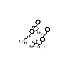 CCCCOC(=O)NC(Cc1ccc(OCc2ccccc2)cc1)C(=O)O.CCN(CC)CCCOc1ccc(NCc2ccccc2)c(C(N)=O)c1